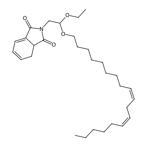 CCCCC/C=C\C/C=C\CCCCCCCCOC(CN1C(=O)C2=CC=CCC2C1=O)OCC